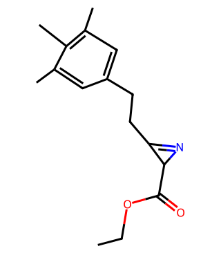 CCOC(=O)C1N=C1CCc1cc(C)c(C)c(C)c1